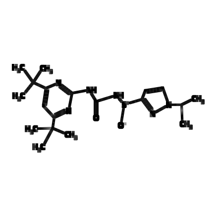 CC(C)n1ccc([S+]([O-])NC(=O)Nc2nc(C(C)(C)C)cc(C(C)(C)C)n2)n1